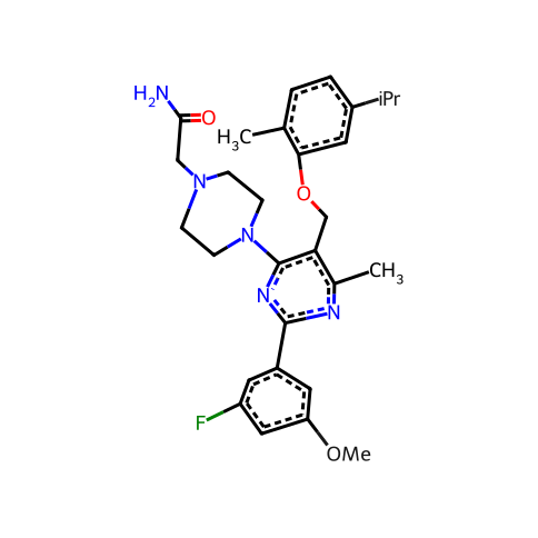 COc1cc(F)cc(-c2nc(C)c(COc3cc(C(C)C)ccc3C)c(N3CCN(CC(N)=O)CC3)n2)c1